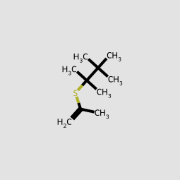 C=C(C)SC(C)(C)C(C)(C)C